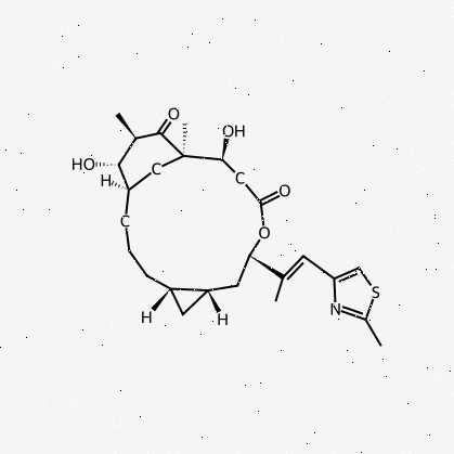 C/C(=C\c1csc(C)n1)[C@H]1C[C@@H]2C[C@@H]2CCC[C@@H]2C[C@@](C)(C(=O)[C@H](C)[C@H]2O)[C@@H](O)CC(=O)O1